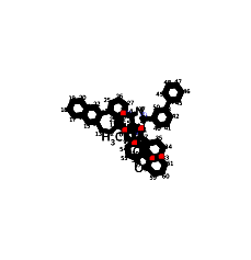 CC1C/C=C(c2cc3c(cc2C2CCc4cc5ccccc5cc4-c4ccccc42)oc2ccccc23)/N=C(c2cccc(-c3ccccc3)c2)\N=C/1c1ccc2oc3ccccc3c2c1